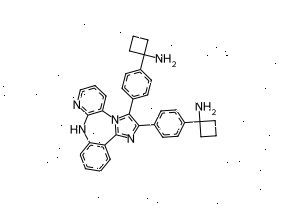 NC1(c2ccc(-c3nc4n(c3-c3ccc(C5(N)CCC5)cc3)-c3cccnc3Nc3ccccc3-4)cc2)CCC1